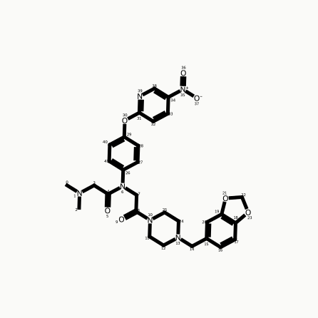 CN(C)CC(=O)N(CC(=O)N1CCN(Cc2ccc3c(c2)OCO3)CC1)c1ccc(Oc2ccc([N+](=O)[O-])cn2)cc1